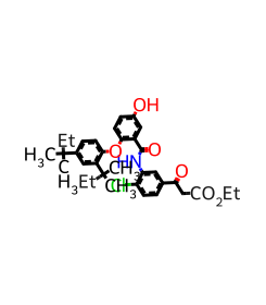 CCOC(=O)CC(=O)c1ccc(Cl)c(NC(=O)c2cc(O)ccc2Oc2ccc(C(C)(C)CC)cc2C(C)(C)CC)c1